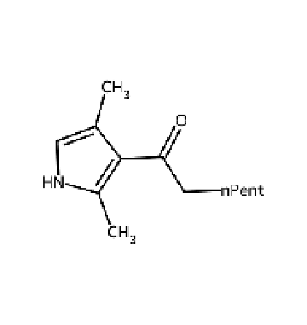 CCCCCCC(=O)c1c(C)c[nH]c1C